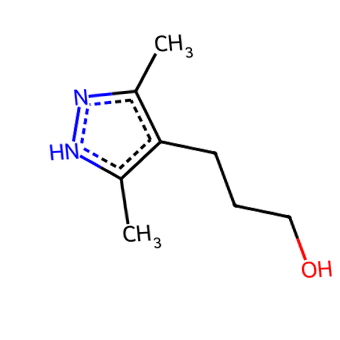 Cc1n[nH]c(C)c1CCCO